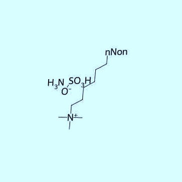 CCCCCCCCCCCCCCC[N+](C)(C)C.N.O=S(=O)([O-])O